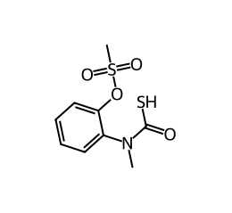 CN(C(=O)S)c1ccccc1OS(C)(=O)=O